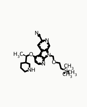 C[C@@H](Oc1ccnc2c1c1cc(C#N)ncc1n2COCC[Si](C)(C)C)C1CCCNC1